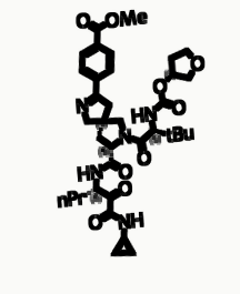 CCC[C@H](NC(=O)[C@@H]1C[C@@]2(CN=C(c3ccc(C(=O)OC)cc3)C2)CN1C(=O)[C@@H](NC(=O)O[C@H]1CCOC1)C(C)(C)C)C(=O)C(=O)NC1CC1